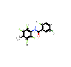 O=C(Nc1c(F)c(F)c(C(F)(F)F)c(F)c1F)c1cc(Cl)ccc1F